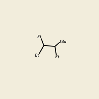 [CH2]CC(CC)C(CC)C(C)(C)C